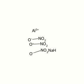 O=[N+]([O-])[O-].O=[N+]([O-])[O-].O=[N+]([O-])[O-].[Al+3].[NaH]